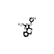 Nc1nc(O[C@H]2CCNC2)c2c(n1)-c1ccccc1CCC2